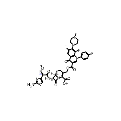 CO/N=C(\C(=O)N[C@@H]1C(=O)N2C(C(=O)O)=C(COC(=O)c3cn(-c4ccc(F)cc4)c4c(F)c(N5CCN(C)CC5)c(F)cc4c3=O)CS[C@H]12)c1csc(N)n1